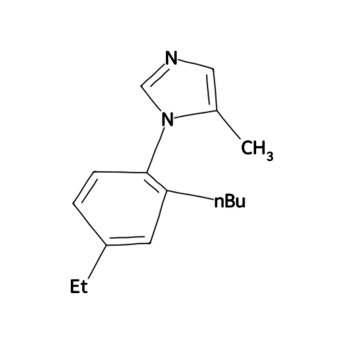 CCCCc1cc(CC)ccc1-n1cncc1C